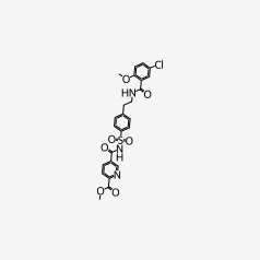 COC(=O)c1ccc(C(=O)NS(=O)(=O)c2ccc(CCNC(=O)c3cc(Cl)ccc3OC)cc2)cn1